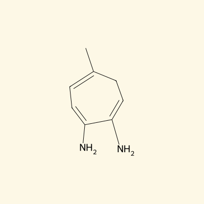 CC1=CC=C(N)C(N)=CC1